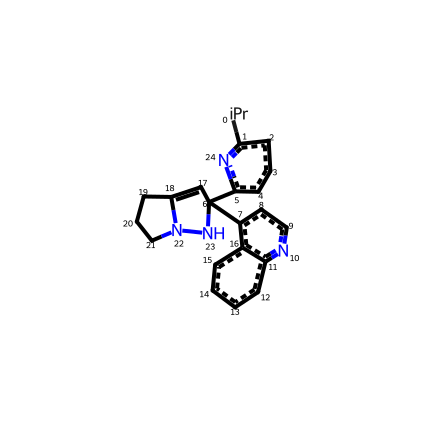 CC(C)c1cccc(C2(c3ccnc4ccccc34)C=C3CCCN3N2)n1